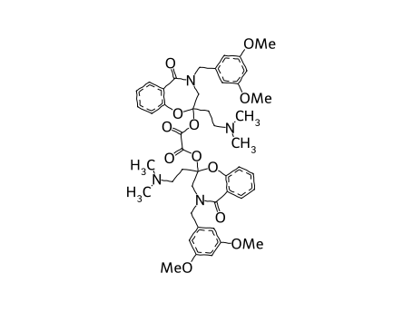 COc1cc(CN2CC(CCN(C)C)(OC(=O)C(=O)OC3(CCN(C)C)CN(Cc4cc(OC)cc(OC)c4)C(=O)c4ccccc4O3)Oc3ccccc3C2=O)cc(OC)c1